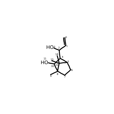 C=CC(O)C1C2CCC(C)(C1O)C2(C)C